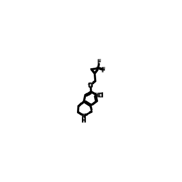 Cl.FC1(F)CC1COc1ccc2c(c1)CCNC2